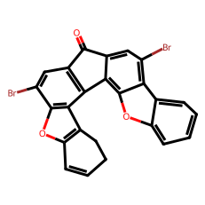 O=C1c2cc(Br)c3c(oc4ccccc43)c2-c2c1cc(Br)c1oc3c(c21)CCC=C3